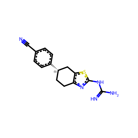 N#Cc1ccc([C@H]2CCc3nc(NC(=N)N)sc3C2)cc1